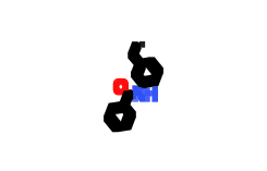 [CH2]Cc1cccc(NC(=O)c2ccccc2)c1